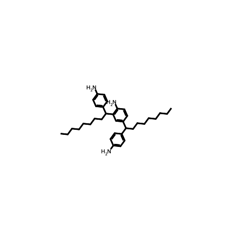 CCCCCCCCC(c1ccc(N)cc1)c1ccc(N)c(C(CCCCCCCC)c2ccc(N)cc2)c1